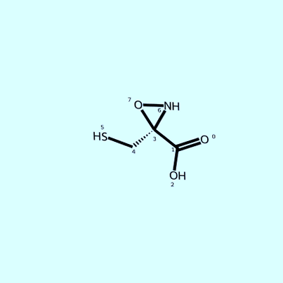 O=C(O)[C@]1(CS)NO1